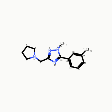 Cn1nc(CN2CCCC2)nc1-c1cccc(C(F)(F)F)c1